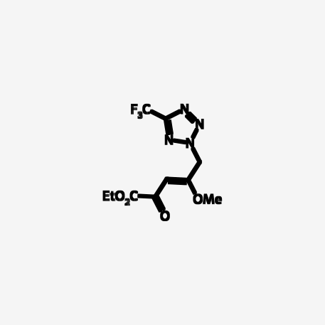 CCOC(=O)C(=O)C=C(Cn1nnc(C(F)(F)F)n1)OC